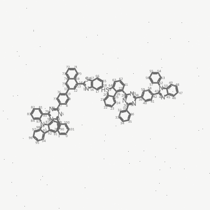 c1ccc(-c2nc(-c3ccc(-c4cc(-c5nc6cc([SH]7c8ccccc8-c8c(-c9nc(-c%10ccccc%10)nc(-c%10ccc(-c%11nc%12ccccc%12n%11-c%11ccccc%11)cc%10)n9)cccc87)ccc6s5)c5ccccc5c4)cc3)nc(-c3ccccc3-n3c4ccccc4c4ccccc43)n2)cc1